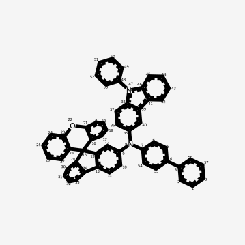 c1ccc(-c2ccc(N(c3ccc4c(c3)C3(c5ccccc5Oc5ccccc53)c3ccccc3-4)c3ccc4c(c3)c3ccccc3n4-c3ccccc3)cc2)cc1